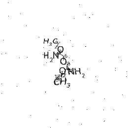 CCCOC(N)COCC(N)OCCC